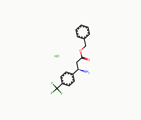 Cl.N[C@H](CC(=O)OCc1ccccc1)c1ccc(C(F)(F)F)cc1